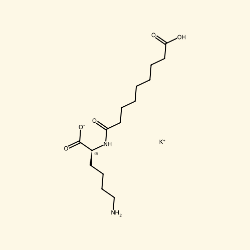 NCCCC[C@H](NC(=O)CCCCCCCC(=O)O)C(=O)[O-].[K+]